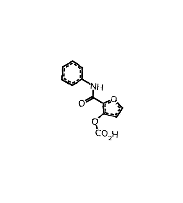 O=C(O)Oc1ccoc1C(=O)Nc1ccccc1